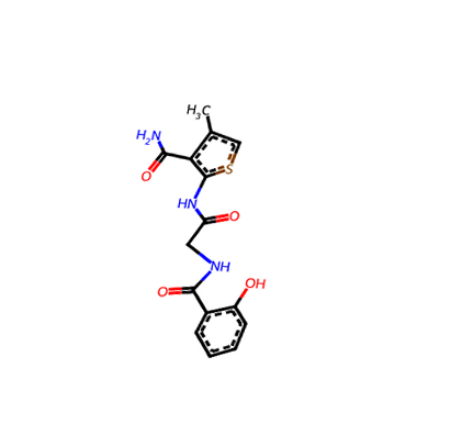 Cc1csc(NC(=O)CNC(=O)c2ccccc2O)c1C(N)=O